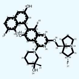 CCc1c(F)ccc2cc(O)cc(-c3c(O)cc4c(N5CCC[C@@](C)(O)C5)nc(OC[C@@]56CCCN5C[C@H](F)C6)nc4c3F)c12